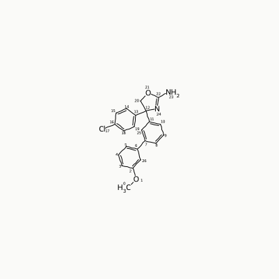 COc1cccc(-c2cccc(C3(c4ccc(Cl)cc4)COC(N)=N3)c2)c1